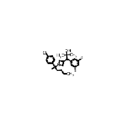 CCCCC(I)(c1ccc(Cl)cc1)N1CC(C(c2cc(F)cc(F)c2)C(C)(C)O)C1